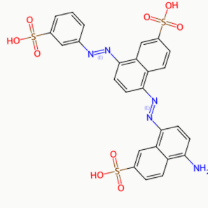 Nc1ccc(/N=N/c2ccc(/N=N/c3cccc(S(=O)(=O)O)c3)c3cc(S(=O)(=O)O)ccc23)c2cc(S(=O)(=O)O)ccc12